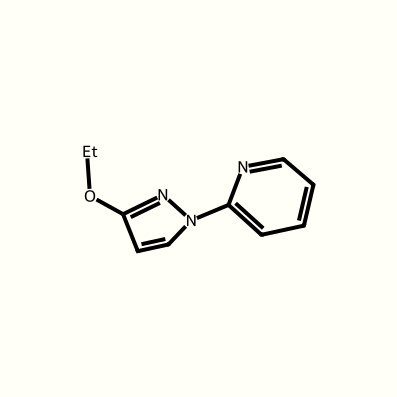 CCOc1ccn(-c2ccccn2)n1